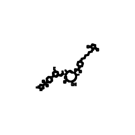 C/C(=C\c1cc(F)cc(N2CCN(S(=O)(=O)c3cnn(C)c3)CC2)c1)[C@H]1OC(=O)C[C@H](O)CC[C@H](C)[C@H](OC(=O)N2CCN(CCCCCCN3C(=O)C=CC3=O)CC2)/C=C/[C@@H]1C